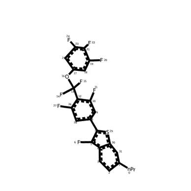 CCCc1ccc2c(F)c(-c3cc(F)c(C(F)(F)Oc4cc(F)c(F)c(F)c4)c(F)c3)sc2c1